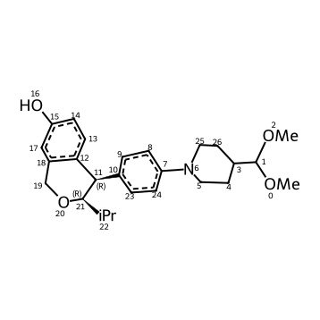 COC(OC)C1CCN(c2ccc([C@@H]3c4ccc(O)cc4CO[C@@H]3C(C)C)cc2)CC1